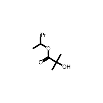 CC(C)C(C)OC(=O)C(C)(C)O